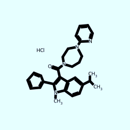 CC(C)c1ccc2c(c1)c(C(=O)N1CCCN(c3ccccn3)CC1)c(-c1ccccc1)n2C.Cl